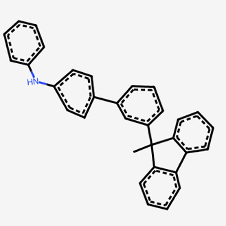 CC1(c2cccc(-c3ccc(Nc4ccccc4)cc3)c2)c2ccccc2-c2ccccc21